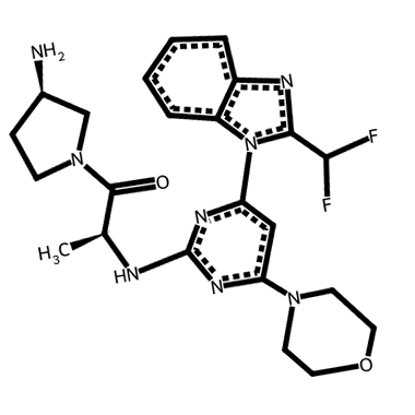 C[C@H](Nc1nc(N2CCOCC2)cc(-n2c(C(F)F)nc3ccccc32)n1)C(=O)N1CC[C@@H](N)C1